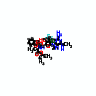 CNc1nc(N)nc2c1ncn2[C@@H]1O[C@H](CO[P@](=O)(N[C@@H](C)C(=O)OC(C)C)Oc2ccccc2)[C@@H](O)[C@]1(Cl)C(F)(F)F